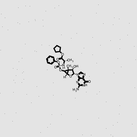 C[C@H](N[P@](=O)(Oc1ccccc1)OC1[C@H]2O[C@@H](n3cnc4c(=O)[nH]c(N)nc43)[C@H](O)[C@@]12C)C(=O)OC1CCCC1